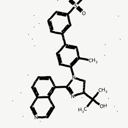 Cc1cc(-c2cccc(S(C)(=O)=O)c2)ccc1N1CC(C(C)(C)O)N=C1c1cccc2cnccc12